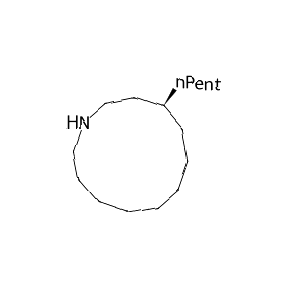 CCCCC[C@H]1CCCCCCCCNCC1